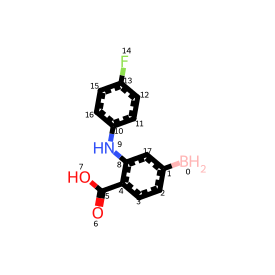 Bc1ccc(C(=O)O)c(Nc2ccc(F)cc2)c1